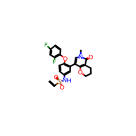 C=CS(=O)(=O)Nc1ccc(Oc2ccc(F)cc2F)c(-c2cn(C)c(=O)c3c2OCCC3)c1